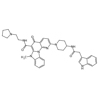 Cn1c2ccccc2n2c3nc(N4CCC(NC(=O)Cc5c[nH]c6ccccc56)CC4)ccc3c(=O)c(C(=O)NCCN3CCCC3)c12